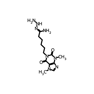 Cn1cnc2c1c(=O)n(CCCCC/C(N)=N/NN)c(=O)n2C